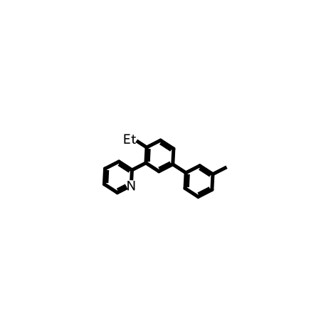 CCc1ccc(-c2cccc(C)c2)cc1-c1ccccn1